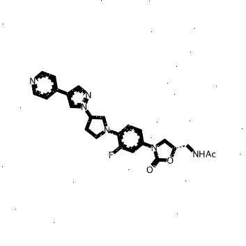 CC(=O)NC[C@H]1CN(c2ccc(N3CCC(n4cc(-c5ccncc5)cn4)C3)c(F)c2)C(=O)O1